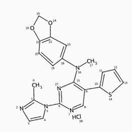 Cc1nccn1-c1ncc(-c2cccs2)c(N(C)c2ccc3c(c2)OCO3)n1.Cl